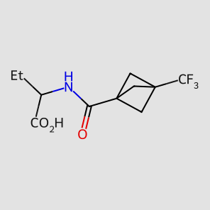 CCC(NC(=O)C12CC(C(F)(F)F)(C1)C2)C(=O)O